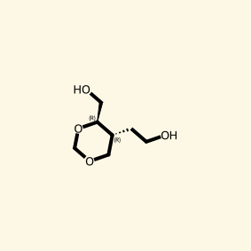 OCC[C@@H]1COCO[C@H]1CO